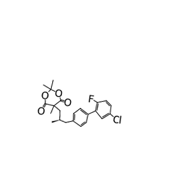 C[C@H](Cc1ccc(-c2cc(Cl)ccc2F)cc1)CC1(C)C(=O)OC(C)(C)OC1=O